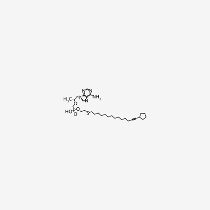 C[C@H](Cn1cnc2c(N)ncnc21)OCP(=O)(O)OCCSCCCCCCCCCCCCC#CC1CCCC1